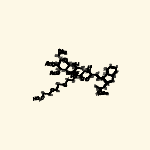 CNN(C)Cc1cc2ccccc2n1CCC(=O)N[C@@H](CC(=O)N[C@H]1O[C@@H](COC(C)=O)[C@H](OC(C)=O)[C@@H](OC(C)=O)[C@@H]1NC(C)=O)C(=O)NCCOCCOCCC(=O)O